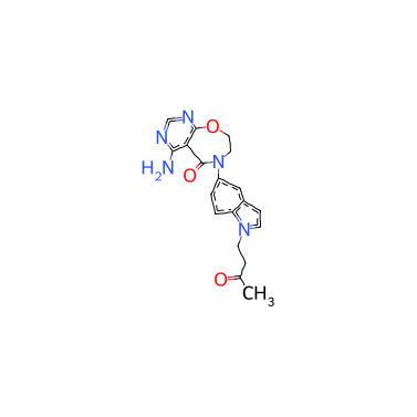 CC(=O)CCn1ccc2cc(N3CCOc4ncnc(N)c4C3=O)ccc21